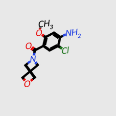 COc1cc(N)c(Cl)cc1C(=O)N1CC2(COC2)C1